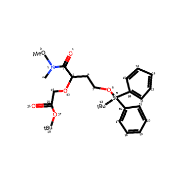 CON(C)C(=O)C(CCO[Si](c1ccccc1)(c1ccccc1)C(C)(C)C)OCC(=O)OC(C)(C)C